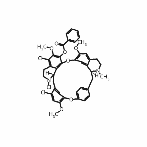 COc1cc(Cl)c2cc1Oc1ccc(cc1)C[C@H]1c3cc(c(OC)cc3CCN1C)Oc1c(OC(=O)c3ccccc3)c(OC)c(Cl)c3c1[C@H](C2)N(C)CC3